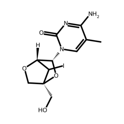 Cc1cn([C@@H]2O[C@@]3(CO)CO[C@H]2C3I)c(=O)nc1N